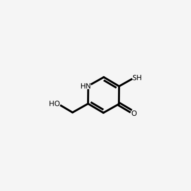 O=c1cc(CO)[nH]cc1S